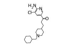 Nc1ncc(C(=O)CCC2CCN(CC3CCCCC3)CC2)cc1Cl